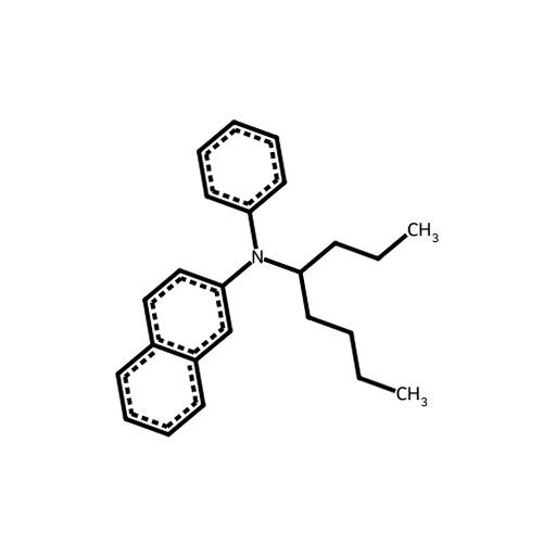 CCCCC(CCC)N(c1ccccc1)c1ccc2ccccc2c1